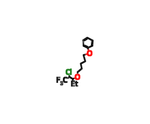 CCC(OCCCCCOc1ccccc1)C(Cl)C(F)(F)F